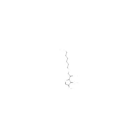 CCCCCCCOCC(O)C1OCC(O)C1O